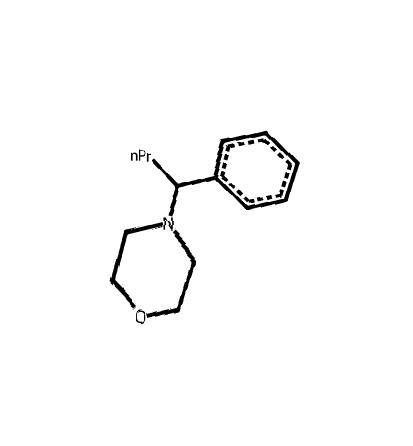 CCCC(c1ccccc1)N1CCOCC1